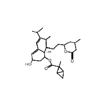 CC1CC(=O)OC(CCC2C(C)C(C(C)C)=CC3=CC(O)CC(OC(=O)C4(C)C5CC54)[C@@H]32)C1